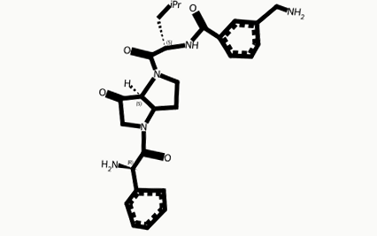 CC(C)C[C@H](NC(=O)c1cccc(CN)c1)C(=O)N1CCC2[C@H]1C(=O)CN2C(=O)[C@H](N)c1ccccc1